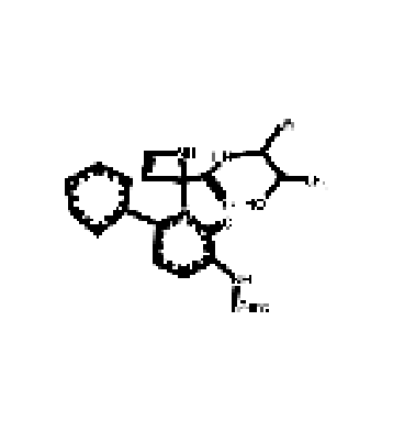 CCCCCNc1ccc(-c2ccccc2)n(C2(C(=O)NC(C(C)C)C(O)C(F)(F)F)C=CN2)c1=O